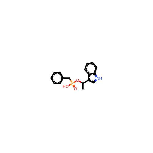 [CH2]C(OP(=O)(O)Cc1ccccc1)c1c[nH]c2ccccc12